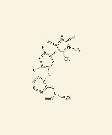 CCOC(=O)C(OC)Oc1ncccc1Oc1cc(-c2c(C(F)(F)F)n(C)c(=O)[nH]c2=O)c(F)cc1Cl